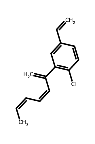 C=Cc1ccc(Cl)c(C(=C)/C=C\C=C/C)c1